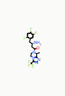 CC1c2nnc(C(F)(F)F)n2CCN1C(=O)C[C@H](N)Cc1cc(F)c(F)cc1F